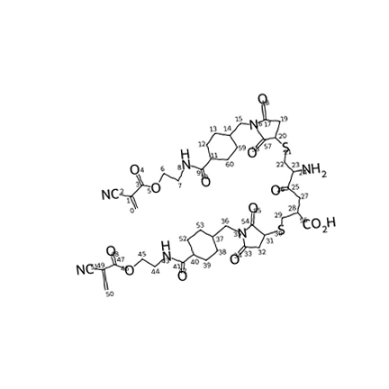 C=C(C#N)C(=O)OCCNC(=O)C1CCC(CN2C(=O)CC(SCC(N)C(=O)CC(CSC3CC(=O)N(CC4CCC(C(=O)NCCOC(=O)C(=C)C#N)CC4)C3=O)C(=O)O)C2=O)CC1